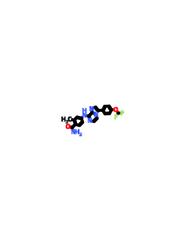 Cc1cc(Nc2nccn3c(-c4ccc(OC(F)F)cc4)cnc23)ccc1C(N)=O